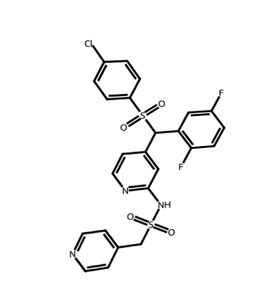 O=S(=O)(Cc1ccncc1)Nc1cc(C(c2cc(F)ccc2F)S(=O)(=O)c2ccc(Cl)cc2)ccn1